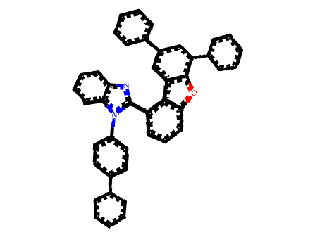 c1ccc(-c2ccc(-n3c(-c4cccc5oc6c(-c7ccccc7)cc(-c7ccccc7)cc6c45)nc4ccccc43)cc2)cc1